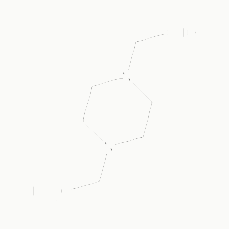 O=CCN1CCN(CC(=O)O)CC1